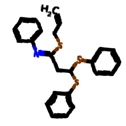 C=CCSC(CC(Sc1ccccc1)Sc1ccccc1)=Nc1ccccc1